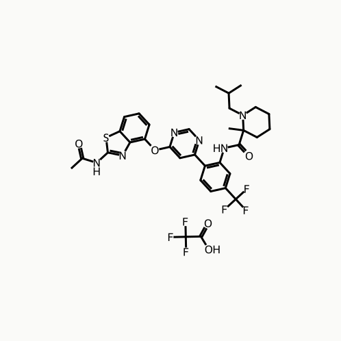 CC(=O)Nc1nc2c(Oc3cc(-c4ccc(C(F)(F)F)cc4NC(=O)C4(C)CCCCN4CC(C)C)ncn3)cccc2s1.O=C(O)C(F)(F)F